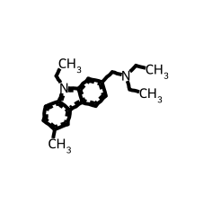 CCN(CC)Cc1ccc2c3cc(C)ccc3n(CC)c2c1